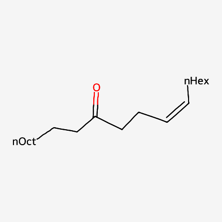 CCCCCC/C=C\CCC(=O)CCCCCCCCCC